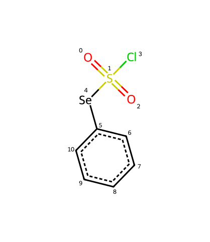 O=S(=O)(Cl)[Se]c1ccccc1